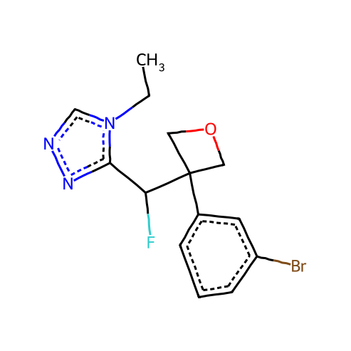 CCn1cnnc1C(F)C1(c2cccc(Br)c2)COC1